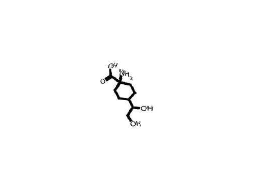 NC1(C(=O)O)CCC(C(O)CO)CC1